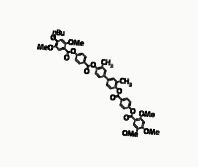 CCCCOc1cc(OC)c(C(=O)Oc2ccc(C(=O)Oc3ccc(-c4ccc(OC(=O)c5ccc(OC(=O)c6cc(OC)c(OC)cc6OC)cc5)c(C)c4)cc3C)cc2)cc1OC